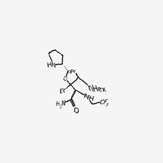 CCCCCCC(CCC)C(CC)(OC[C@H]1CCCN1)C(NCC(F)(F)F)C(N)=O